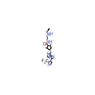 C#CCNCCCNC(=O)c1c(C)cc(Cc2nccn3c(C4=CCN=C4C(F)(F)F)cnc23)cc1C